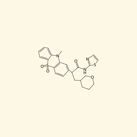 CN1c2ccccc2S(=O)(=O)c2ccc(C(CC3CCCOC3)C(=O)Nc3nccs3)cc21